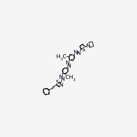 Cc1cc(/N=N/c2ccc(N3CCCC3)s2)ccc1/N=N/c1ccc(/N=N/c2ncc(/C=C/c3ccccc3)s2)c(C)c1